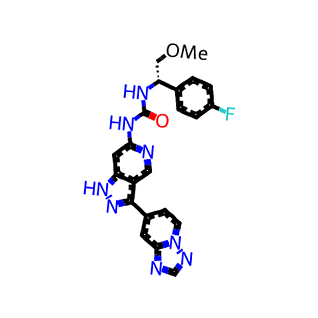 COC[C@@H](NC(=O)Nc1cc2[nH]nc(-c3ccn4ncnc4c3)c2cn1)c1ccc(F)cc1